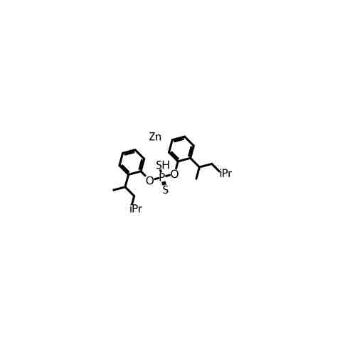 CC(C)CC(C)c1ccccc1OP(=S)(S)Oc1ccccc1C(C)CC(C)C.[Zn]